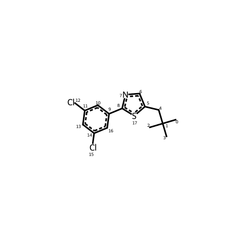 CC(C)(C)Cc1cnc(-c2cc(Cl)cc(Cl)c2)s1